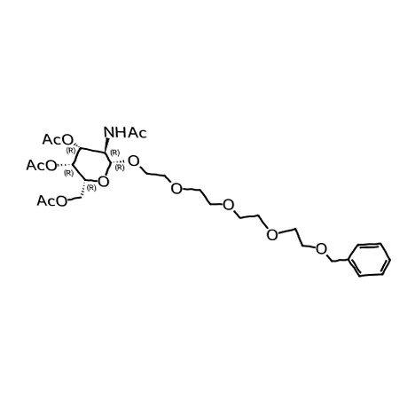 CC(=O)N[C@H]1[C@H](OCCOCCOCCOCCOCc2ccccc2)O[C@H](COC(C)=O)[C@H](OC(C)=O)[C@@H]1OC(C)=O